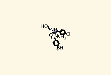 CBc1ccc(C(=O)N(N)/C(=C\c2ccc(Cl)cc2)C(=O)NCCO)cc1